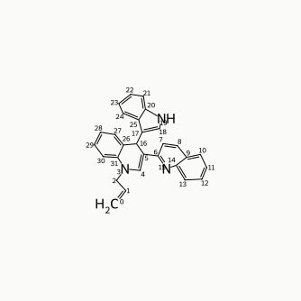 C=CCN1C=C(c2ccc3ccccc3n2)C(c2c[nH]c3ccccc23)c2ccccc21